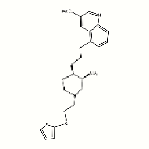 COc1cnc2cccc(CCC[C@@H]3CCN(CCSc4cccs4)C[C@@H]3C(=O)O)c2c1